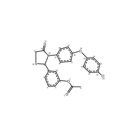 CC(=O)Oc1cccc(C2SCC(=O)N2c2ccc(Oc3ccc(Cl)cc3)cc2)c1